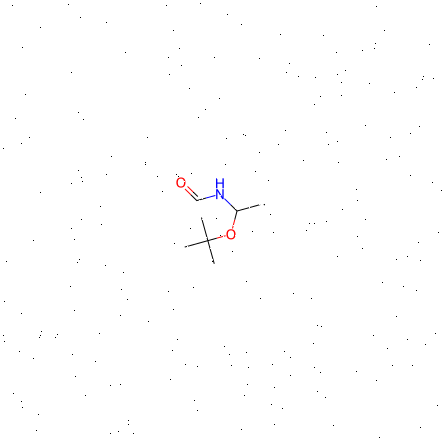 [CH2]C(NC=O)OC(C)(C)C